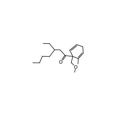 CCCCC(CC)CC(=O)C1(COC)C=CCC=C1C